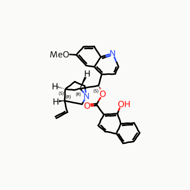 C=C[C@H]1CN2CC[C@H]1C[C@@H]2[C@@H](OC(=O)c1ccc2ccccc2c1O)c1ccnc2ccc(OC)cc12